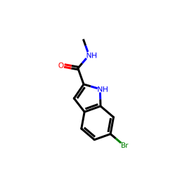 CNC(=O)c1cc2ccc(Br)cc2[nH]1